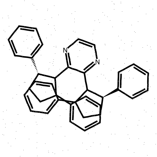 c1ccc(C2CC[C@H](c3ccccc3)C2c2nccnc2C2C(c3ccccc3)CC[C@@H]2c2ccccc2)cc1